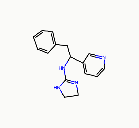 c1ccc(CC(NC2=NCCN2)c2cccnc2)cc1